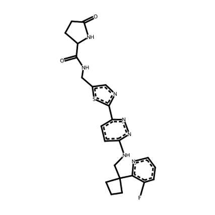 O=C1CCC(C(=O)NCc2cnc(-c3ccc(NCC4(c5ncccc5F)CCC4)nn3)s2)N1